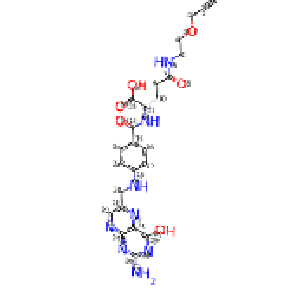 C#CCOCCNC(=O)CC[C@H](NC(=O)c1ccc(NCc2cnc3nc(N)nc(O)c3n2)cc1)C(=O)O